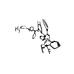 CCOC(=O)NC(=O)C(C#N)=CNc1ccccc1C(F)(F)F